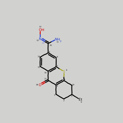 CCC1CCc2c(sc3cc(/C(N)=N/O)ccc3c2=O)C1